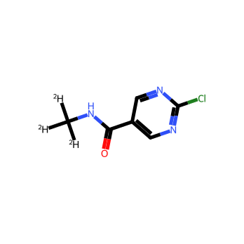 [2H]C([2H])([2H])NC(=O)c1cnc(Cl)nc1